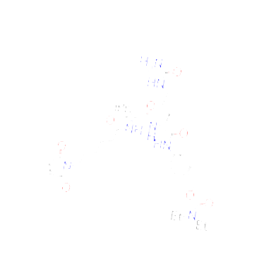 CCN(CC)C(=O)OCc1ccc(NC(=O)[C@H](CCCNC(N)=O)NC(=O)[C@@H](NC(=O)CCCCCN2C(=O)C=CC2=O)C(C)C)cc1